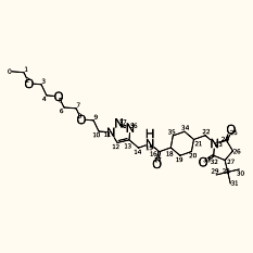 CCOCCOCCOCCn1cc(CNC(=O)C2CCC(CN3C(=O)CC(C(C)(C)C)C3=O)CC2)nn1